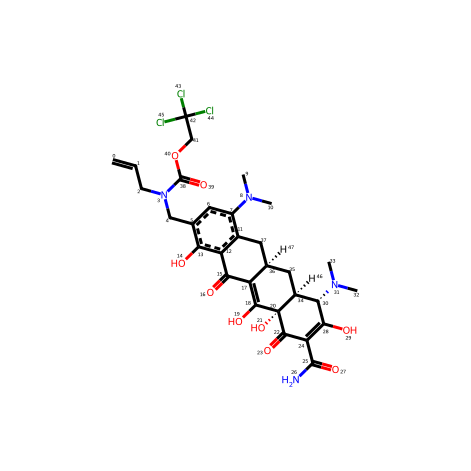 C=CCN(Cc1cc(N(C)C)c2c(c1O)C(=O)C1=C(O)[C@]3(O)C(=O)C(C(N)=O)=C(O)[C@@H](N(C)C)[C@@H]3C[C@@H]1C2)C(=O)OCC(Cl)(Cl)Cl